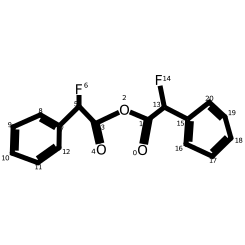 O=C(OC(=O)C(F)c1ccccc1)C(F)c1ccccc1